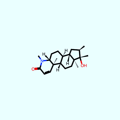 C[C@@H]1C[C@H]2[C@@H]3CC[C@H]4N(C)C(=O)C=C[C@]4(C)[C@H]3CC[C@]2(C)[C@@]1(C)O